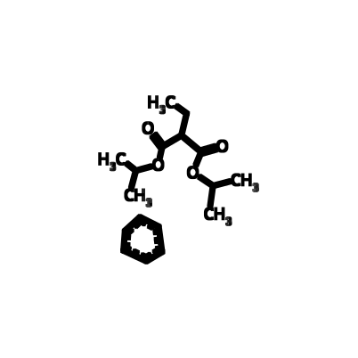 CCC(C(=O)OC(C)C)C(=O)OC(C)C.c1ccccc1